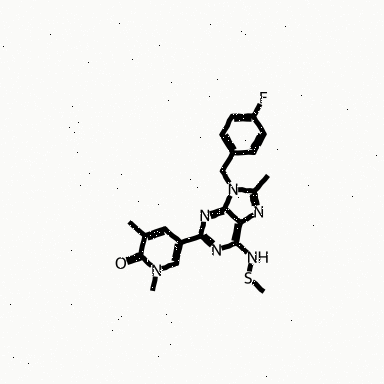 CSNc1nc(-c2cc(C)c(=O)n(C)c2)nc2c1nc(C)n2Cc1ccc(F)cc1